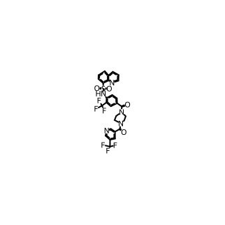 O=C(c1cncc(C(F)(F)F)c1)N1CCN(C(=O)c2ccc(NS(=O)(=O)c3cccc4cccnc34)c(C(F)(F)F)c2)CC1